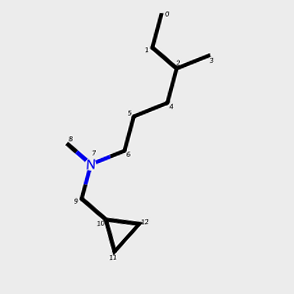 CCC(C)CCCN(C)CC1CC1